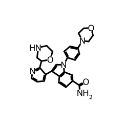 NC(=O)c1ccc2c(-c3cccnc3C3CNCCO3)cn(-c3ccc(N4CCOCC4)cc3)c2c1